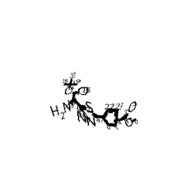 COC(=O)c1ccc(-c2nnc(C(N)C(=O)OC(C)(C)C)s2)cc1